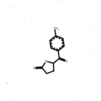 Cc1ccc(C(=O)C2CCC(=O)O2)cc1